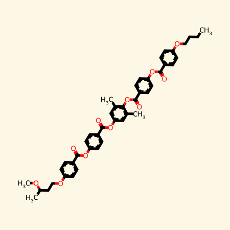 CCCCOc1ccc(C(=O)Oc2ccc(C(=O)Oc3c(C)cc(OC(=O)c4ccc(OC(=O)c5ccc(OCCC(C)OC)cc5)cc4)cc3C)cc2)cc1